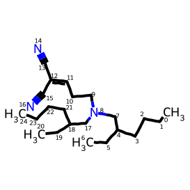 CCCCC(CC)CN(CCC=C(C#N)C#N)CC(CC)CCCC